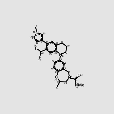 CNC(=O)N1Cc2cc(N3CCCc4cc(-c5cnn(C)c5)c(C(F)F)cc43)ccc2OC(C)C1